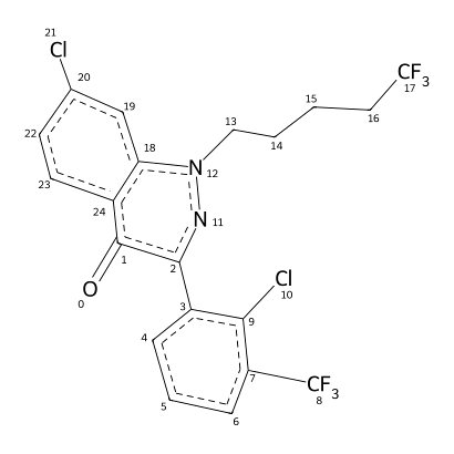 O=c1c(-c2cccc(C(F)(F)F)c2Cl)nn(CCCCC(F)(F)F)c2cc(Cl)ccc12